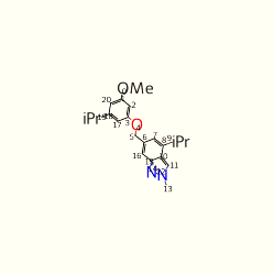 COc1cc(OCc2cc(C(C)C)c3cn(C)nc3c2)cc(C(C)C)c1